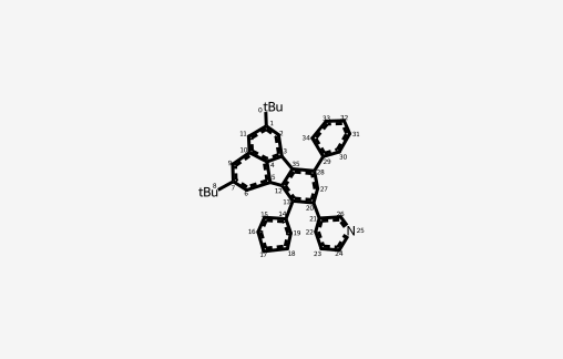 CC(C)(C)c1cc2c3c(cc(C(C)(C)C)cc3c1)-c1c(-c3ccccc3)c(-c3cccnc3)cc(-c3ccccc3)c1-2